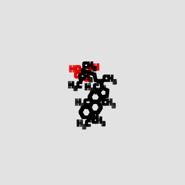 CC(=O)OC(O)(CC[C@@H](C)[C@H]1CC[C@@]2(C)C3=C(CC[C@]12C)[C@@]1(C)CCCC(C)(C)[C@@H]1CC3)C(C)(C)O